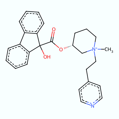 C[N+]1(CCc2ccncc2)CCC[C@@H](OC(=O)C2(O)c3ccccc3-c3ccccc32)C1